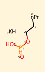 CCCCCO[PH](=O)O.[KH]